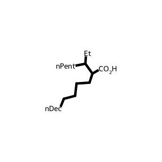 CCCCCCCCCCCCCCC(C(=O)O)C(CC)CCCCC